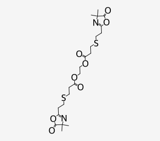 CC1(C)N=C(CCSCCC(=O)OCCOC(=O)CCSCCC2=NC(C)(C)C(=O)O2)OC1=O